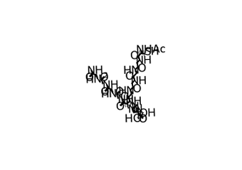 CC(=O)N[C@@H](CS)C(=O)NCC(=O)NCC(=O)NCC(=O)NCC(=O)N[C@@H](Cn1cc(P(=O)(O)O)nn1)C(=O)NCC(=O)NCC(=O)NCC(=O)NCC(N)=O